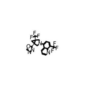 FC(F)(F)c1ccc(N2C[C@]3(c4nnco4)C[C@]3(C(F)(F)F)C2)c2cccnc12